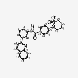 O=C(Nc1cccc(-c2ncc3ccccc3n2)c1)c1ccc(N2CCCCS2(=O)=O)cc1